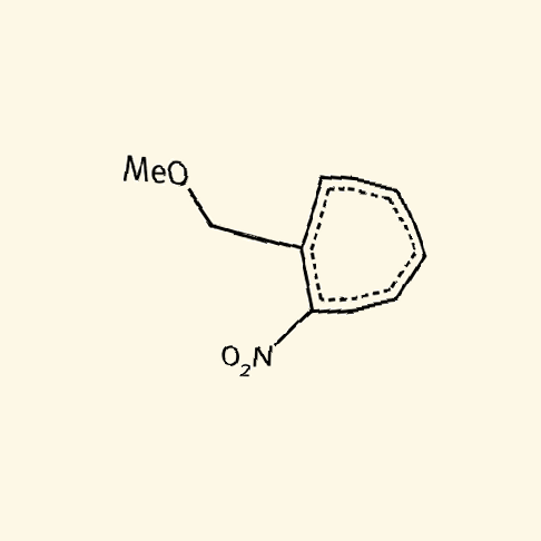 [1C]OCc1ccccc1[N+](=O)[O-]